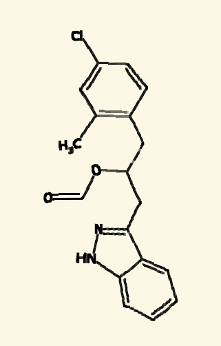 Cc1cc(Cl)ccc1CC(Cc1n[nH]c2ccccc12)OC=O